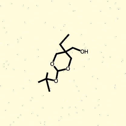 CCC1(CO)COC(OC(C)(C)C)OC1